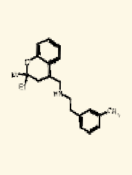 CCC1(CC)CC(CNCCc2cccc(C)c2)c2ccccc2O1